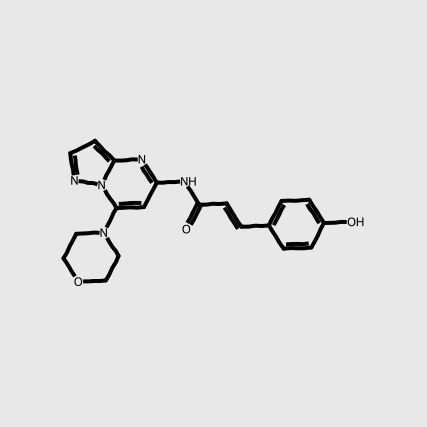 O=C(C=Cc1ccc(O)cc1)Nc1cc(N2CCOCC2)n2nccc2n1